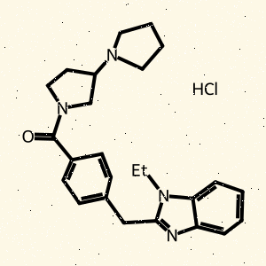 CCn1c(Cc2ccc(C(=O)N3CCC(N4CCCC4)C3)cc2)nc2ccccc21.Cl